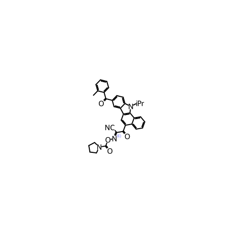 Cc1ccccc1C(=O)c1ccc2c(c1)c1cc(C(=O)/C(C#N)=N/OC(=O)N3CCCC3)c3ccccc3c1n2C(C)C